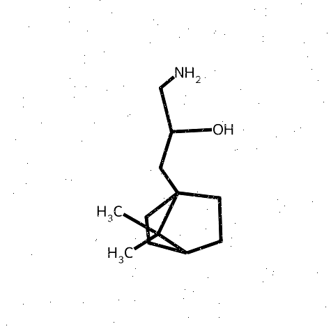 CC1(C)C2CCC1(CC(O)CN)CC2